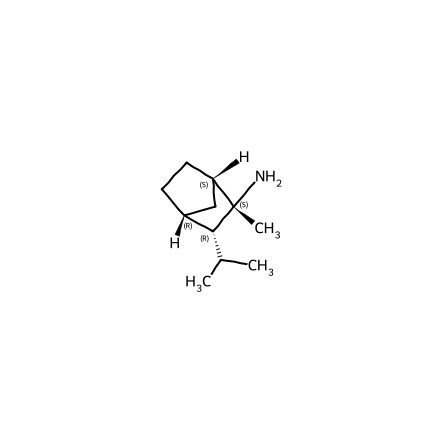 CC(C)[C@@H]1[C@@H]2CC[C@@H](C2)[C@]1(C)N